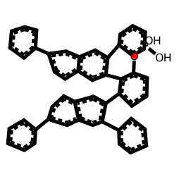 OP(O)Oc1cccc(-c2cc3ccc(-c4ccccc4)cc3cc2-c2ccccc2)c1-c1cc2ccc(-c3ccccc3)cc2cc1-c1ccccc1